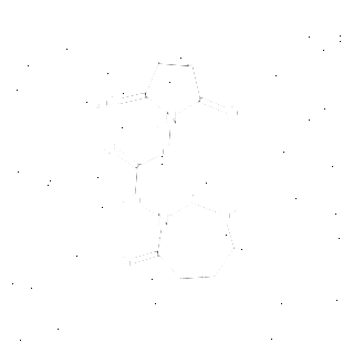 O=C(ON1COCCCC1=O)ON1C(=O)CCC1=O